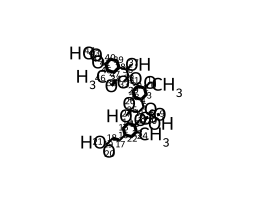 COc1cc(C(OS(=O)(=O)O)C(Oc2ccc(/C=C/C(=O)O)cc2C)C(=O)O)ccc1OC(OC=O)C(O)c1ccc(OOO)c(C)c1